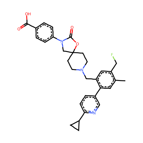 Cc1cc(-c2ccc(C3CC3)nc2)c(CN2CCC3(CC2)CN(c2ccc(C(=O)O)cc2)C(=O)O3)cc1CF